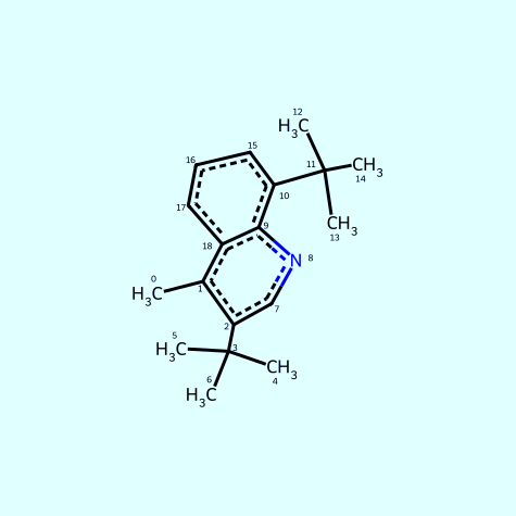 Cc1c(C(C)(C)C)cnc2c(C(C)(C)C)cccc12